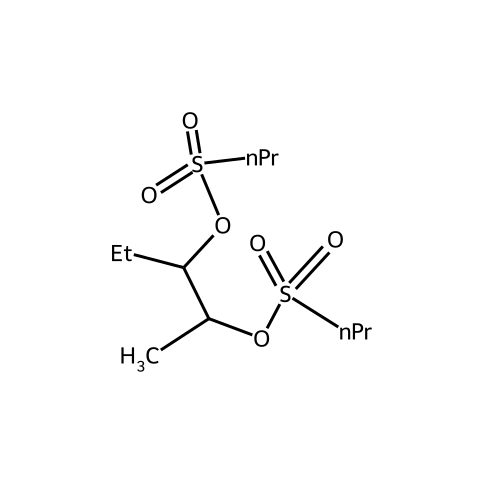 CCCS(=O)(=O)OC(C)C(CC)OS(=O)(=O)CCC